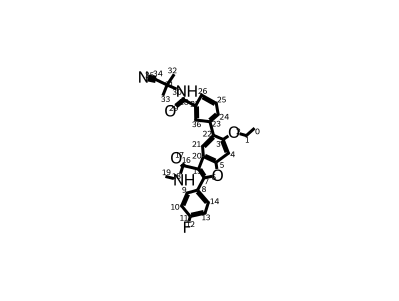 CCOc1cc2oc(-c3ccc(F)cc3)c(C(=O)NC)c2cc1-c1cccc(C(=O)NC(C)(C)C#N)c1